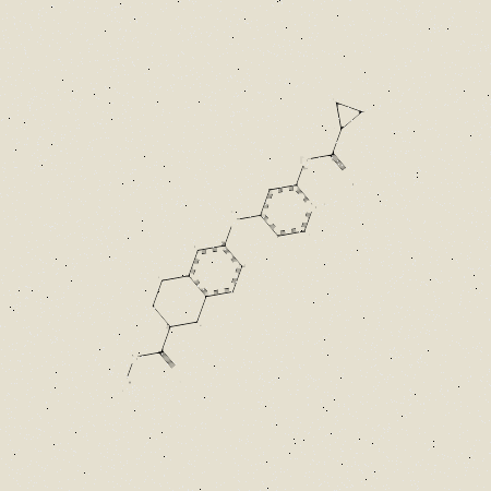 O=C(NO)C1CCc2cc(Oc3ccnc(NC(=O)C4CC4)c3)ccc2C1